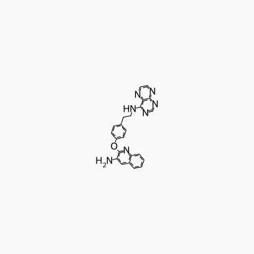 Nc1cc2ccccc2nc1Oc1ccc(CCNc2ncnc3nccnc23)cc1